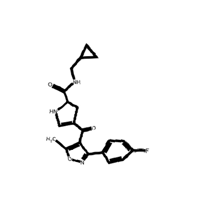 Cc1onc(-c2ccc(F)cc2)c1C(=O)C1=CNC(C(=O)NCC2CC2)C1